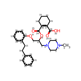 CN1CCN(CC(COc2ccccc2CCc2ccccc2)OC(=O)C2=C(C(=O)O)CCCC2)CC1